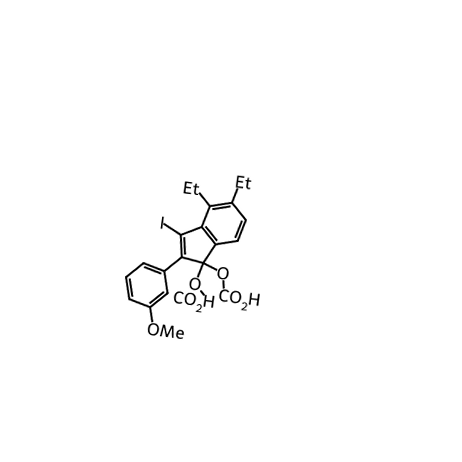 CCc1ccc2c(c1CC)C(I)=C(c1cccc(OC)c1)C2(OC(=O)O)OC(=O)O